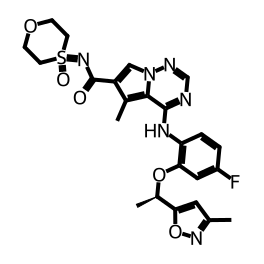 Cc1cc([C@@H](C)Oc2cc(F)ccc2Nc2ncnn3cc(C(=O)N=S4(=O)CCOCC4)c(C)c23)on1